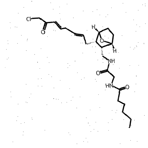 CCCCCC(=O)NCC(=O)NC[C@@H]1[C@H](CC=CCC=CC(=O)CCl)[C@@H]2CC[C@H]1O2